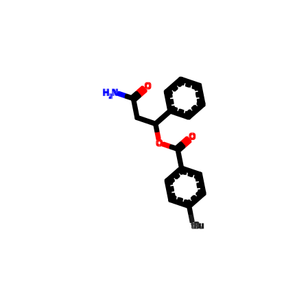 CC(C)(C)c1ccc(C(=O)OC(CC(N)=O)c2ccccc2)cc1